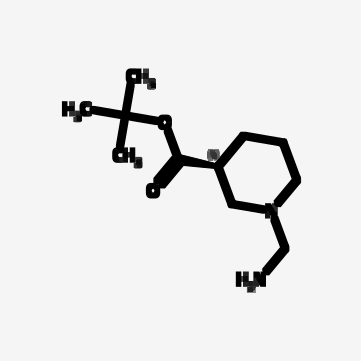 CC(C)(C)OC(=O)[C@H]1CCCN(CN)C1